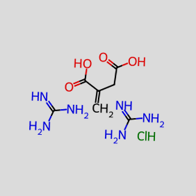 C=C(CC(=O)O)C(=O)O.Cl.N=C(N)N.N=C(N)N